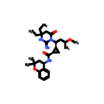 CCC1(CC)CC(=O)N(C(CC(C)OC)[C@@H]2C[C@H]2C(=O)N[C@@H]2CC(C)(C)Oc3ccccc32)C(=N)N1